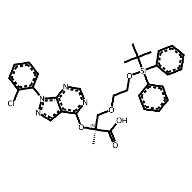 CC(C)(C)[Si](OCCOC[C@](C)(Oc1ncnc2c1cnn2-c1ccccc1Cl)C(=O)O)(c1ccccc1)c1ccccc1